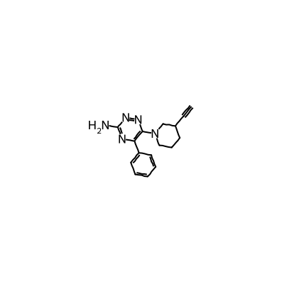 C#CC1CCCN(c2nnc(N)nc2-c2ccccc2)C1